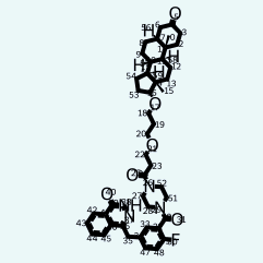 C[C@]12CCC(=O)C[C@@H]1CC[C@@H]1[C@@H]2CC[C@]2(C)[C@@H](OCCCOCCC(=O)N3CCN(C(=O)c4cc(Cc5n[nH]c(=O)c6ccccc56)ccc4F)CC3)CC[C@@H]12